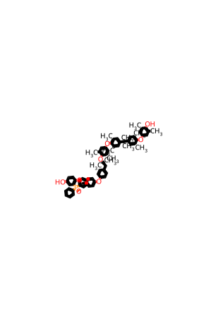 Cc1cc(Oc2c(C)cc(C(C)(C)c3cc(C)c(Oc4cc(C)c(OC(C)(C)Cc5ccc(Oc6ccc(COc7ccc(O)cc7P(=O)(c7ccccc7)c7ccccc7)cc6)cc5)c(C)c4)c(C)c3)cc2C)cc(C)c1O